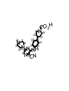 CN1CCN(c2cnc(C#N)c(Nc3ccc(C4CCN(C(=O)O)CC4)cc3)n2)CC1